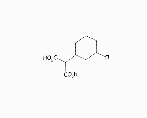 O=C(O)C(C(=O)O)C1CCCC(Cl)C1